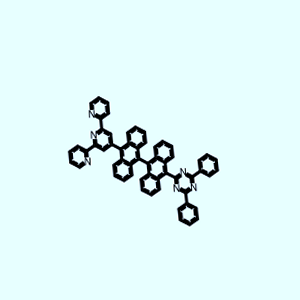 c1ccc(-c2nc(-c3ccccc3)nc(-c3c4ccccc4c(-c4c5ccccc5c(-c5cc(-c6ccccn6)nc(-c6ccccn6)c5)c5ccccc45)c4ccccc34)n2)cc1